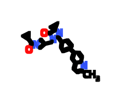 Cc1ccc2cc(-c3ccc(C4=NC5(CC5)C(=O)N4CC4CN(C(=O)C5CC5)C4)cc3)ccc2n1